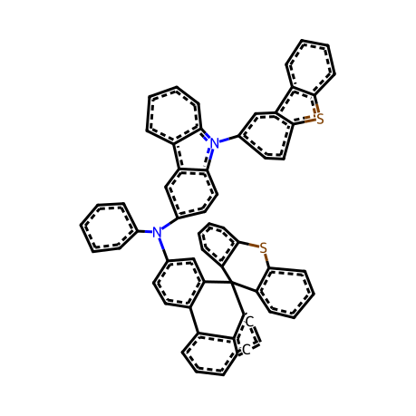 c1ccc(N(c2ccc3c(c2)C2(c4ccccc4Sc4ccccc42)c2cccc4cccc-3c24)c2ccc3c(c2)c2ccccc2n3-c2ccc3sc4ccccc4c3c2)cc1